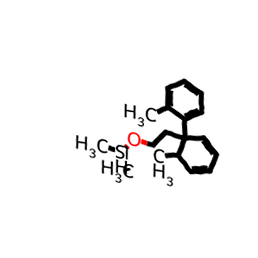 Cc1ccccc1C1(CCO[SiH](C)C)C=CC=CC1C